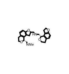 CNC[C@@H]1OCCc2ccc3c(c21)CC(CNC[C@H]1OCCc2ccc4c(c21)CCO4)O3